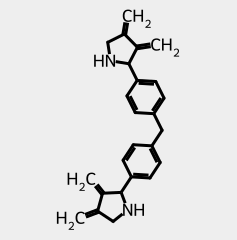 C=C1CNC(c2ccc(Cc3ccc(C4NCC(=C)C4=C)cc3)cc2)C1=C